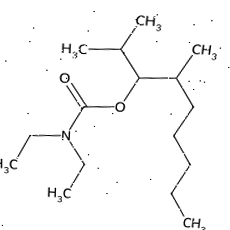 CCCCCC(C)C(OC(=O)N(CC)CC)C(C)C